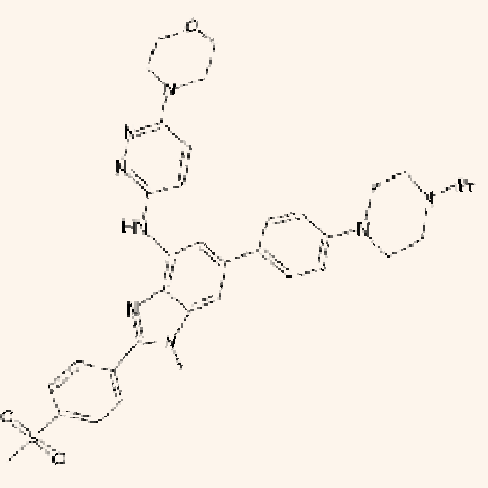 CC(C)N1CCN(c2ccc(-c3cc(Nc4ccc(N5CCOCC5)nn4)c4nc(-c5ccc(S(C)(=O)=O)cc5)n(C)c4c3)cc2)CC1